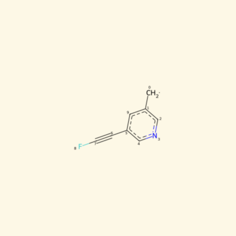 [CH2]c1cncc(C#CF)c1